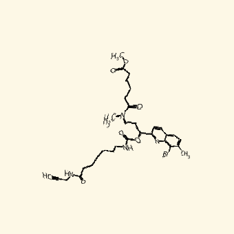 C#CCNC(=O)CCCCCNC(=O)OC(CCN(C)C(=O)CCCCC(=O)OC)c1ccc2ccc(C)c(Br)c2n1